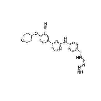 N#Cc1cc(-c2ccnc(Nc3ccc(CN/C=N\N=N)cc3)n2)ccc1OC1CCOCC1